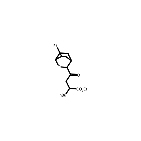 [CH2]CCCC(CC(=O)[C]1OC2CCC1CC2CC)C(=O)OCC